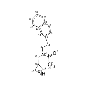 O=C(N(CCc1ccc2ccccc2c1)CC1CNC1)C(F)(F)F